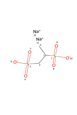 CC(CS(=O)(=O)[O-])S(=O)(=O)[O-].[Na+].[Na+]